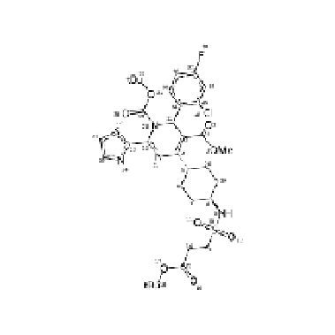 COC(=O)C1=C([C@H]2CC[C@H](NS(=O)(=O)CCC(=O)OC(C)(C)C)CC2)N=C(c2nccs2)N(C(=O)OC(C)(C)C)C1c1ccc(F)cc1Cl